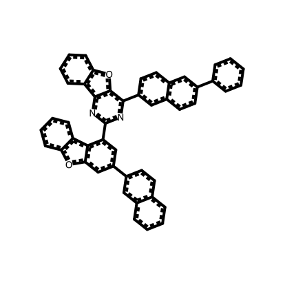 c1ccc(-c2ccc3cc(-c4nc(-c5cc(-c6ccc7ccccc7c6)cc6oc7ccccc7c56)nc5c4oc4ccccc45)ccc3c2)cc1